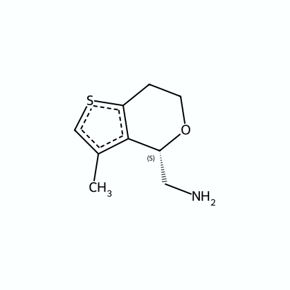 Cc1csc2c1[C@@H](CN)OCC2